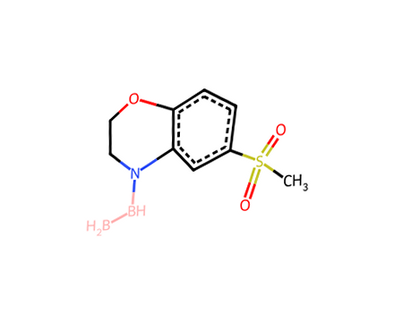 BBN1CCOc2ccc(S(C)(=O)=O)cc21